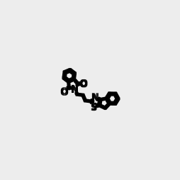 O=C1c2ccccc2C(=O)N1CCCc1nc2c(s1)Cc1ccccc1-2